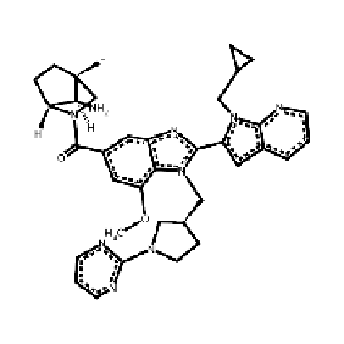 COc1cc(C(=O)N2C[C@H]3CC[C@@H]2[C@@H]3N)cc2nc(-c3cc4cccnc4n3CC3CC3)n(C[C@H]3CCN(c4ncccn4)C3)c12